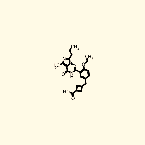 CCCc1nc(C)c2c(=O)[nH]c(-c3cc(CC4CC(C(=O)O)C4)ccc3OCC)nn12